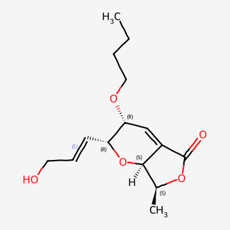 CCCCO[C@@H]1C=C2C(=O)O[C@@H](C)[C@H]2O[C@@H]1/C=C/CO